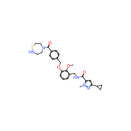 COc1c(CNC(=O)c2cc(C3CC3)nn2C)cccc1OCc1ccc(C(=O)N2CCNSCC2)cc1